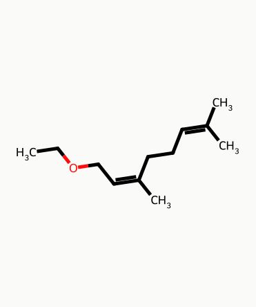 CCOCC=C(C)CCC=C(C)C